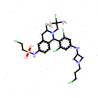 CC1Cc2cc(NS(=O)(=O)CCF)ccc2C(c2c(F)cc(NC3CN(CCCF)C3)cc2F)N1CC(C)(C)F